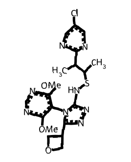 COc1ncnc(OC)c1-n1c(NSC(C)C(C)c2ncc(Cl)cn2)nnc1C1COC1